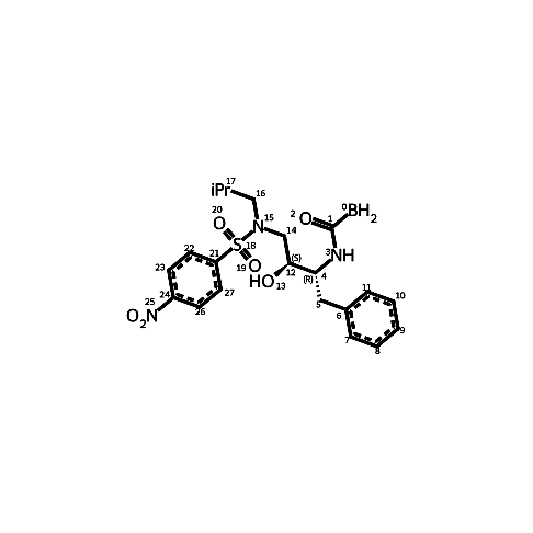 BC(=O)N[C@H](Cc1ccccc1)[C@@H](O)CN(CC(C)C)S(=O)(=O)c1ccc([N+](=O)[O-])cc1